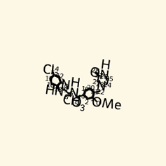 COc1cc(C(=O)NC(C)c2nc3cc(Cl)ccc3[nH]2)ccc1CN1CCNC(=O)C1